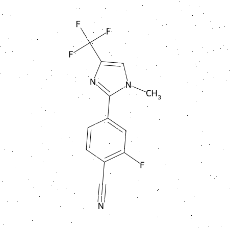 Cn1cc(C(F)(F)F)nc1-c1ccc(C#N)c(F)c1